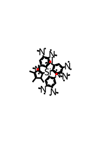 CC1=C(C)C(C)C([Si](c2cc(N(C)C)c(N(C)C)cc2N(C)C)(c2cc(N(C)C)c(N(C)C)cc2N(C)C)c2cc(N(C)C)c(N(C)C)cc2N(C)C)=C1C